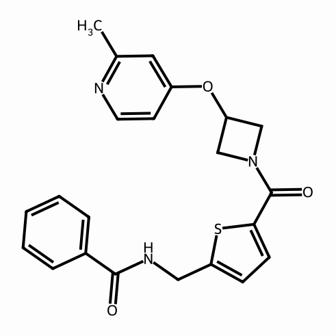 Cc1cc(OC2CN(C(=O)c3ccc(CNC(=O)c4ccccc4)s3)C2)ccn1